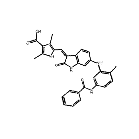 Cc1ccc(NC(=O)c2ccccc2)cc1Nc1ccc2c(c1)NC(=O)/C2=C\c1[nH]c(C)c(C(=O)O)c1C